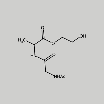 CC(=O)NCC(=O)NC(C)C(=O)OCCO